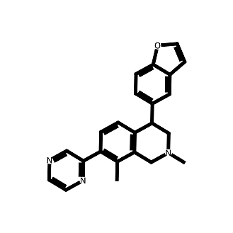 Cc1c(-c2cnccn2)ccc2c1CN(C)CC2c1ccc2occc2c1